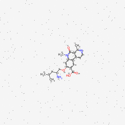 Cc1nccc2c1c(=O)n(C)c1cc(OCC(N)CC(C)C)c(C(=O)O)cc21